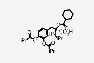 CC(C)N[C@@](Cc1ccc(OC(=O)C(C)C)c(OC(=O)C(C)C)c1)(OC(=O)C1CCCCC1)C(=O)O